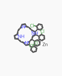 Clc1ccccc1C1=Cc2cc3ccc(cc4nc(cc5[nH]c(c(-c6ccccc6Cl)c1n2)c(-c1ccccc1Cl)c5-c1ccccc1Cl)C=C4)[nH]3.[Zn]